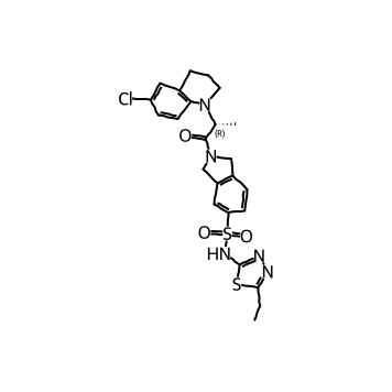 CCc1nnc(NS(=O)(=O)c2ccc3c(c2)CN(C(=O)[C@@H](C)N2CCCc4cc(Cl)ccc42)C3)s1